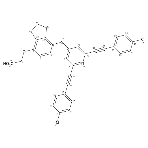 O=C(O)COc1ccc(Sc2cc(C#Cc3ccc(Cl)cc3)nc(C#Cc3ccc(Cl)cc3)c2)c2c1CCC2